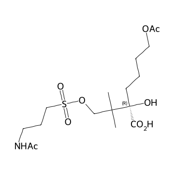 CC(=O)NCCCS(=O)(=O)OCC(C)(C)[C@](O)(CCCCOC(C)=O)C(=O)O